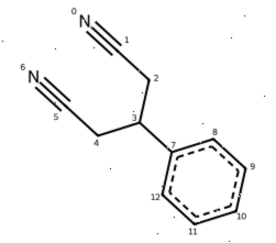 N#CCC(CC#N)c1ccccc1